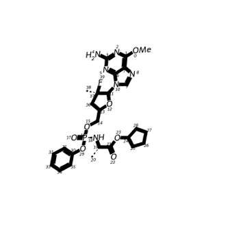 COc1nc(N)nc2c1ncn2C1OC(CO[P@@](=O)(N[C@@H](C)C(=O)OC2CCCC2)Oc2ccccc2)C[C@@]1(C)F